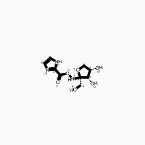 O=C(ON[C@@]1(CO)OC[C@H](O)[C@@H]1O)c1ncc[nH]1